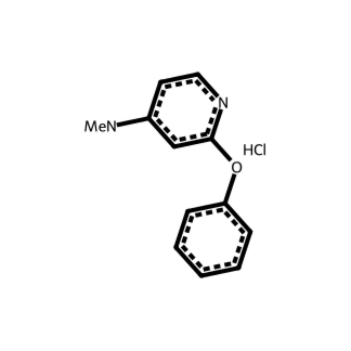 CNc1ccnc(Oc2ccccc2)c1.Cl